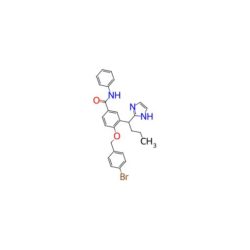 CCCC(c1ncc[nH]1)c1cc(C(=O)Nc2ccccc2)ccc1OCc1ccc(Br)cc1